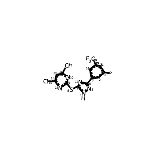 Cc1cc(-c2n[nH]c(Sc3nc(Cl)cc(Cl)n3)n2)cc(C(F)(F)F)c1